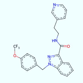 O=C(NCCc1cccnc1)c1nn(Cc2ccc(OC(F)(F)F)cc2)c2ccccc12